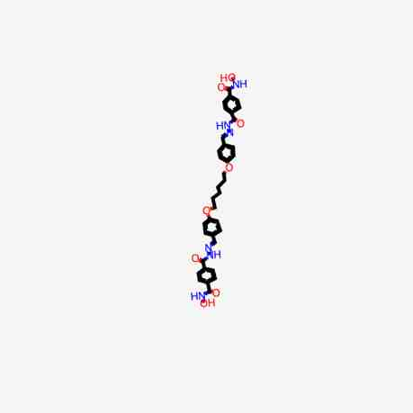 O=C(NO)c1ccc(C(=O)N/N=C/c2ccc(OCCCCCCOc3ccc(/C=N/NC(=O)c4ccc(C(=O)NO)cc4)cc3)cc2)cc1